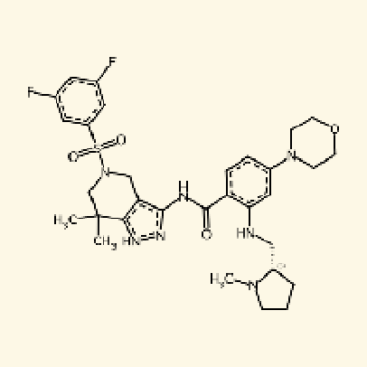 CN1CCC[C@H]1CNc1cc(N2CCOCC2)ccc1C(=O)Nc1n[nH]c2c1CN(S(=O)(=O)c1cc(F)cc(F)c1)CC2(C)C